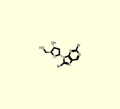 OC[C@@H]1O[C@@H](n2c(Br)nc3cnc(Br)nc32)C[C@H]1O